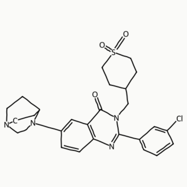 O=c1c2cc(N3CCN4CCC3CC4)ccc2nc(-c2cccc(Cl)c2)n1CC1CCS(=O)(=O)CC1